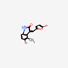 Cc1c(Br)ccc2c1C(=Cc1ccc(Br)o1)C(=O)N2